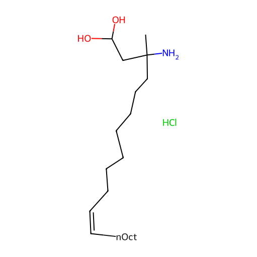 CCCCCCCC/C=C\CCCCCCCC(C)(N)CC(O)O.Cl